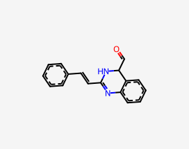 O=CC1NC(C=Cc2ccccc2)=Nc2ccccc21